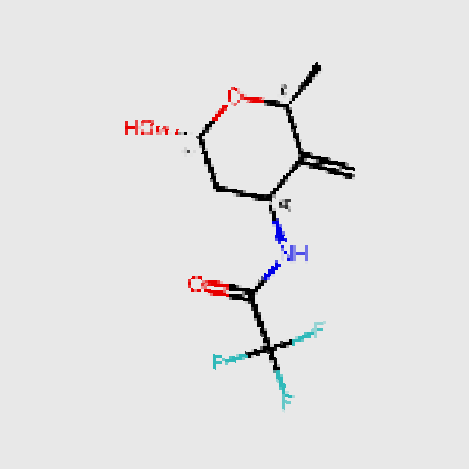 C=C1[C@@H](NC(=O)C(F)(F)F)C[C@H](O)O[C@H]1C